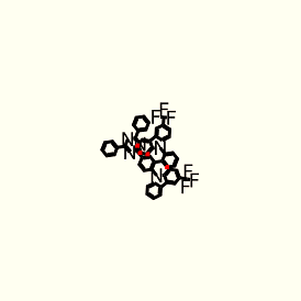 FC(F)(F)c1ccc2c(c1)c1ccccc1n2-c1ccccc1-c1cc(-c2nc(-c3ccccc3)nc(-c3ccccc3)n2)ccc1-n1c2ccccc2c2cc(C(F)(F)F)ccc21